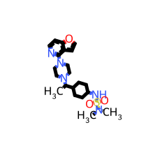 CC(C1CCC(NS(=O)(=O)N(C)C)CC1)N1CCN(c2nccc3occc23)CC1